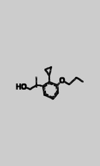 CCCOc1cccc([C](C)CO)c1C1CC1